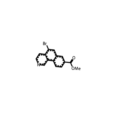 COC(=O)c1ccc2c(c1)cc(Br)c1ccncc12